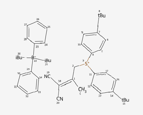 CC(C[S+](c1ccc(C(C)(C)C)cc1)c1ccc(C(C)(C)C)cc1)=C(C#N)C#N.CCC(C)[B-](c1ccccc1)(c1ccccc1)C(C)CC